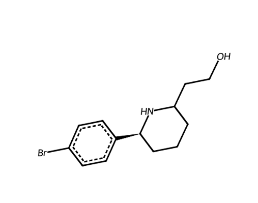 OCCC1CCC[C@@H](c2ccc(Br)cc2)N1